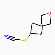 N#CSC1CC2(COC2)C1